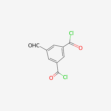 O=Cc1cc(C(=O)Cl)cc(C(=O)Cl)c1